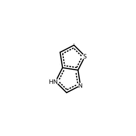 [c]1cc2[nH]cnc2s1